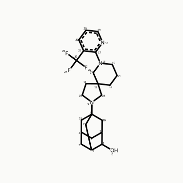 OC1C2CC3CC1CC(N1CCC4(CCCN(c5ncccc5C(F)(F)F)C4)C1)(C3)C2